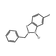 [O-][S+]1c2cc(F)ccc2SN1Cc1ccccc1